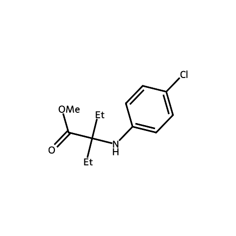 CCC(CC)(Nc1ccc(Cl)cc1)C(=O)OC